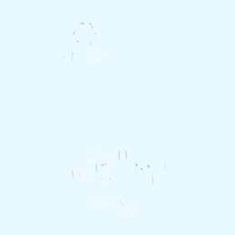 C[N+](C)(C)CC(CC(=O)O)OP(=O)(O)OCCCCCCCCOc1c(Cl)cccc1Cl